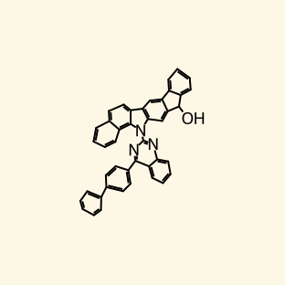 OC1c2ccccc2-c2cc3c4ccc5ccccc5c4n(-c4nc(-c5ccc(-c6ccccc6)cc5)c5ccccc5n4)c3cc21